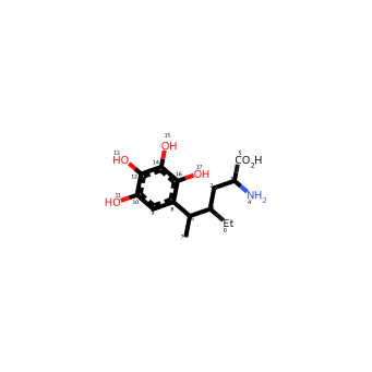 CCC(CC(N)C(=O)O)C(C)c1cc(O)c(O)c(O)c1O